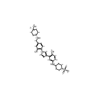 CCS(=O)(=O)N1CCC(Nc2ncc(C#N)c(-c3cnn(-c4ccc(CN[C@H]5CC[C@](C)(O)CC5)cc4Cl)c3)n2)CC1